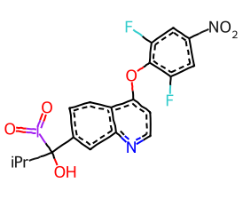 CC(C)C(O)(c1ccc2c(Oc3c(F)cc([N+](=O)[O-])cc3F)ccnc2c1)I(=O)=O